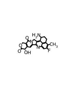 Cc1c(F)cc2nc3c(c4c2c1CCC4N)Cn1c-3cc2c(c1=O)COC(=O)[C@H]2O